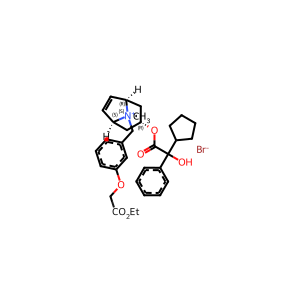 CCOC(=O)COc1cccc(C[N@@+]2(C)[C@@H]3C=C[C@H]2C[C@H](OC(=O)C(O)(c2ccccc2)C2CCCC2)C3)c1.[Br-]